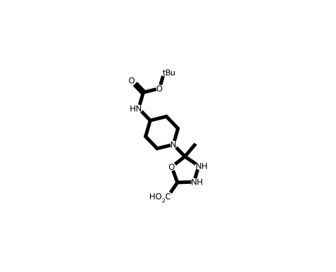 CC(C)(C)OC(=O)NC1CCN(C2(C)NNC(C(=O)O)O2)CC1